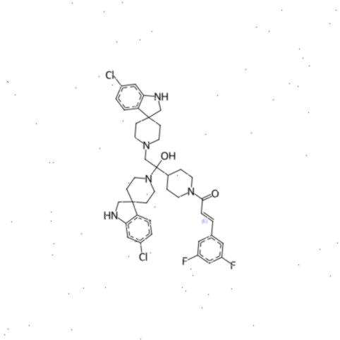 O=C(/C=C/c1cc(F)cc(F)c1)N1CCC(C(O)(CN2CCC3(CC2)CNc2cc(Cl)ccc23)N2CCC3(CC2)CNc2cc(Cl)ccc23)CC1